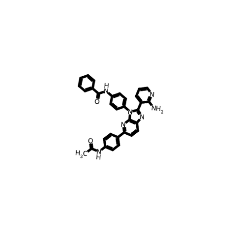 CC(=O)Nc1ccc(-c2ccc3nc(-c4cccnc4N)n(-c4ccc(NC(=O)c5ccccc5)cc4)c3n2)cc1